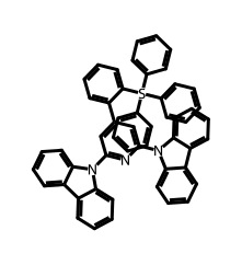 c1ccc(S(c2ccccc2)(c2ccccc2)c2ccccc2-c2cc(-n3c4ccccc4c4ccccc43)nc(-n3c4ccccc4c4ccccc43)c2)cc1